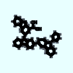 OB(O)c1cc(-n2c3ccccc3c3ccc(-c4ccc5c(c4)c4ccccc4n5-c4ccccc4)cc32)cc2c1sc1ccccc12